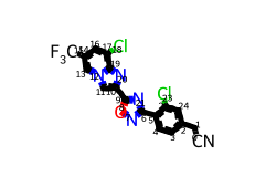 N#CCc1ccc(-c2noc(-c3cn4cc(C(F)(F)F)cc(Cl)c4n3)n2)c(Cl)c1